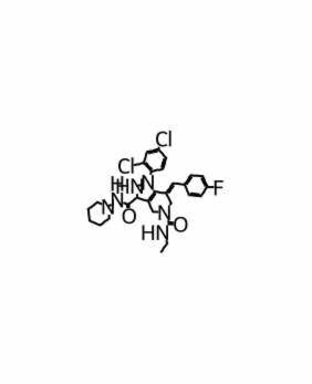 CCNC(=O)N1CC2=C(/C(=C/c3ccc(F)cc3)C1)N(c1ccc(Cl)cc1Cl)NC2C(=O)NN1CCCCC1